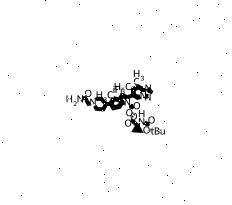 Cc1c(-c2c(C(C)C)c3c(C)c(C4CCN(CC(N)=O)CC4)ccc3n2C(=O)OOC(=O)C2(NC(=O)OC(C)(C)C)CC2)cn2ncnc2c1C